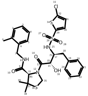 Cc1ccccc1CNC(=O)[C@H]1N(C(=O)[C@@H](O)[C@H](Cc2ccccc2)NS(=O)(=O)c2ccc(Cl)s2)CSC1(C)C